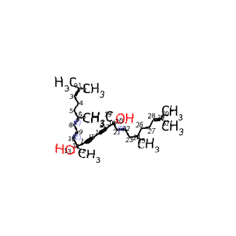 CC(C)=CCC/C(C)=C/C=C/C(C)(O)C#CC#CC(C)(O)/C=C/CC(C)CCC=C(C)C